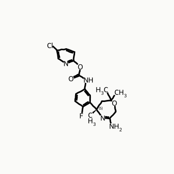 CC1(C)C[C@@](C)(c2cc(NC(=O)Oc3ccc(Cl)cn3)ccc2F)N=C(N)CO1